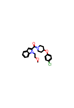 COCCn1c(C(=O)N2CCC(Oc3ccc(Cl)cc3)CC2)cc2ccccc21